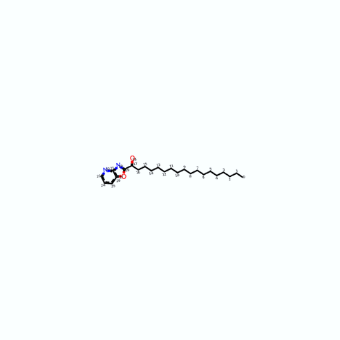 CCCCCCCCCCCCCCCCCC(=O)c1nc2ncccc2o1